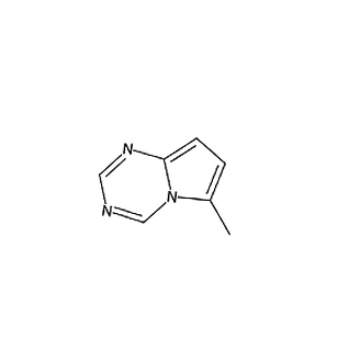 Cc1ccc2ncncn12